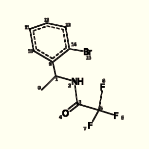 CC(NC(=O)C(F)(F)F)c1ccccc1Br